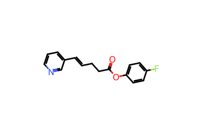 O=C(CCC=Cc1cccnc1)Oc1ccc(F)cc1